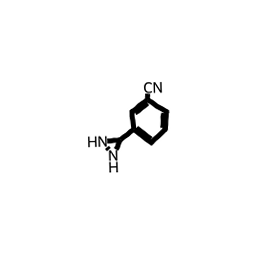 N#Cc1cccc(C2NN2)c1